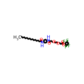 CCCCCCCCCCCCCCCC(=O)NC1CCC(NC(=O)CCOCCOCCC(=O)Oc2c(F)c(F)cc(F)c2F)CC1